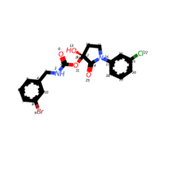 O=C(NCc1cccc(Br)c1)O[C@]1(O)CCN(c2cccc(Cl)c2)C1=O